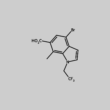 Cc1c(C(=O)O)cc(Br)c2ccn(CC(F)(F)F)c12